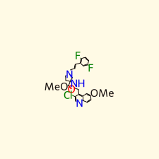 COC(=O)C1(NCCc2c(Cl)cnc3ccc(OC)cc23)CCN(CC=Cc2cc(F)ccc2F)C1